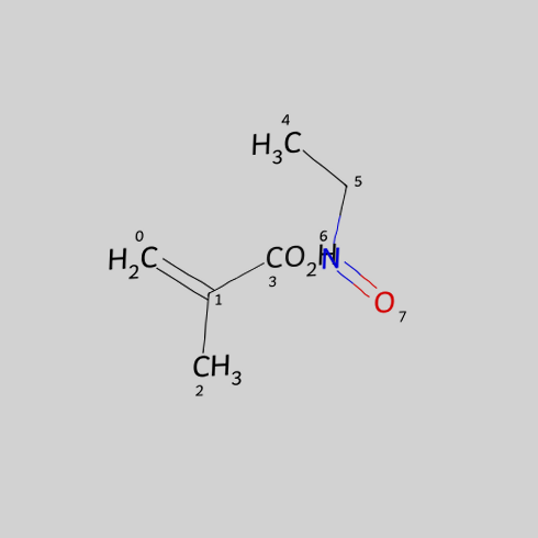 C=C(C)C(=O)O.CCN=O